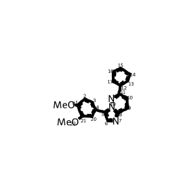 COc1ccc(-c2cnc3ccc(-c4ccccc4)nn23)cc1OC